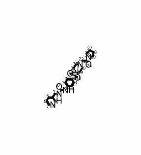 O=C(NCc1cccnc1)Nc1ccc(S(=O)(=O)N2CCN(CC(=O)N3CCCC3)CC2)cc1